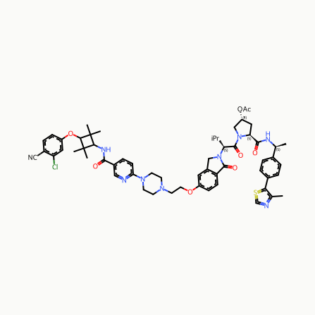 CC(=O)O[C@@H]1C[C@@H](C(=O)N[C@@H](C)c2ccc(-c3scnc3C)cc2)N(C(=O)[C@H](C(C)C)N2Cc3cc(OCCN4CCN(c5ccc(C(=O)NC6C(C)(C)C(Oc7ccc(C#N)c(Cl)c7)C6(C)C)cn5)CC4)ccc3C2=O)C1